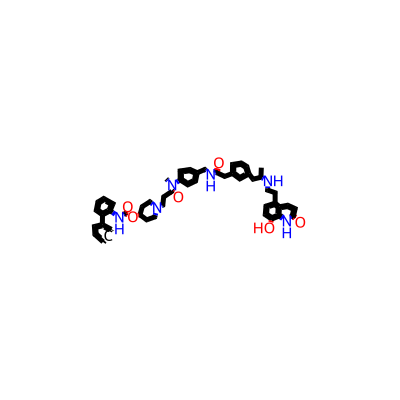 CC(Cc1cccc(CC(=O)NCc2ccc(N(C)C(=O)CCN3CCC(OC(=O)Nc4ccccc4-c4ccccc4)CC3)cc2)c1)NCCc1ccc(O)c2[nH]c(=O)ccc12